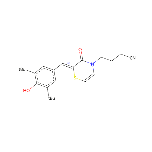 CC(C)(C)c1cc(/C=C2\SC=CN(CCCC#N)C2=O)cc(C(C)(C)C)c1O